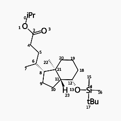 CC(C)OC(=O)CCC(C)[C@H]1CC[C@H]2[C@@H](O[Si](C)(C)C(C)(C)C)CCC[C@]12C